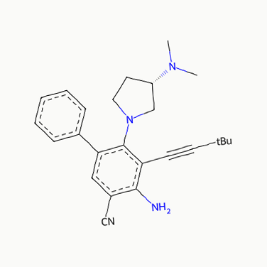 CN(C)[C@H]1CCN(c2c(-c3ccccc3)cc(C#N)c(N)c2C#CC(C)(C)C)C1